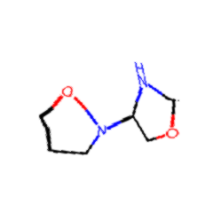 [CH]1NC(N2CCCO2)CO1